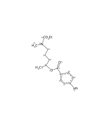 CCCc1ccc(C(=O)OC(C)CCCN(C)C(=O)OCC)cc1